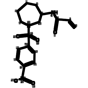 C=CC(=O)NC1CCCCN(S(=O)(=O)c2ccc([N+](=O)[O-])cc2)C1